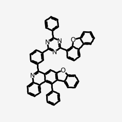 c1ccc(-c2nc(-c3cccc(-c4nc5ccccc5c5c(-c6ccccc6)c6c(cc45)oc4ccccc46)c3)nc(-c3cccc4c3oc3ccccc34)n2)cc1